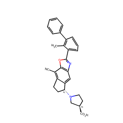 Cc1c(-c2ccccc2)cccc1-c1nc2cc3c(c(C#N)c2o1)CC[C@H]3N1CC[C@@H](C(=O)O)C1